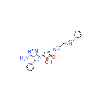 Nc1ncnc2c1c(-c1ccccc1)cn2[C@@H]1C[C@H](CNCCCNCCc2ccccc2)[C@@H](O)[C@H]1O